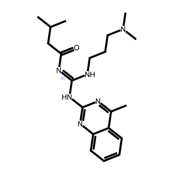 Cc1nc(N/C(=N/C(=O)CC(C)C)NCCCN(C)C)nc2ccccc12